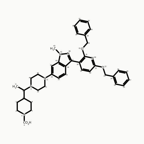 CC(C1CCN(C(=O)O)CC1)N1CCN(c2ccc3c(-c4ccc(OCc5ccccc5)nc4OCc4ccccc4)nn(C)c3c2)CC1